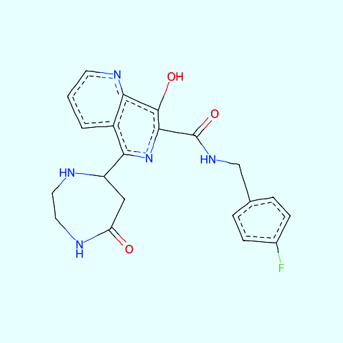 O=C1CC(c2nc(C(=O)NCc3ccc(F)cc3)c(O)c3ncccc23)NCCN1